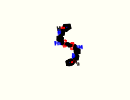 CN1C2CCC1CC(Oc1ccc(-c3ccc4[nH]cc(OC(=O)/C=C/C(=O)Oc5c[nH]c6ccc(-c7ccc(OC8CC9CCC(C8)N9C)nn7)cc56)c4c3)nn1)C2